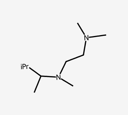 CC(C)C(C)N(C)CCN(C)C